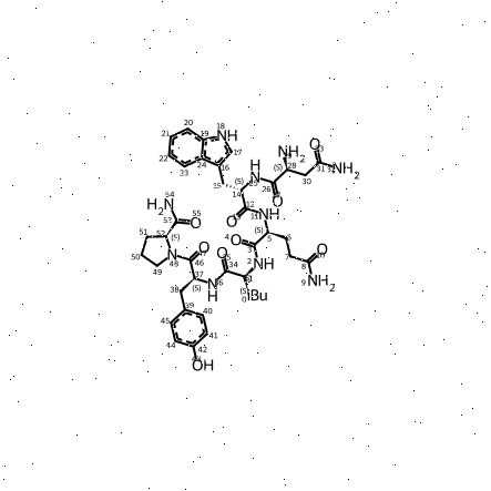 CC[C@H](C)[C@H](NC(=O)[C@H](CCC(N)=O)NC(=O)[C@H](Cc1c[nH]c2ccccc12)NC(=O)[C@@H](N)CC(N)=O)C(=O)N[C@@H](Cc1ccc(O)cc1)C(=O)N1CCC[C@H]1C(N)=O